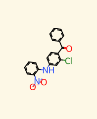 O=C(c1ccccc1)c1ccc(Nc2ccccc2[N+](=O)[O-])cc1Cl